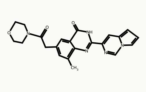 Cc1cc(CC(=O)N2CCOCC2)cc2c(=O)[nH]c(-c3cc4cccn4cn3)nc12